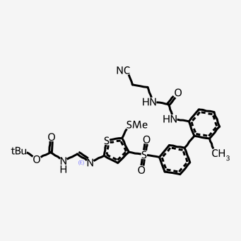 CSc1sc(/N=C/NC(=O)OC(C)(C)C)cc1S(=O)(=O)c1cccc(-c2c(C)cccc2NC(=O)NCCC#N)c1